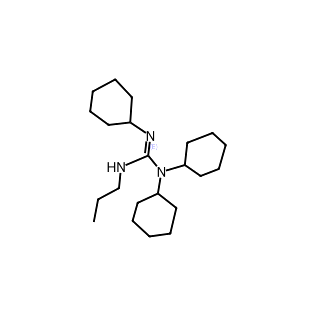 CCCN/C(=N\C1CCCCC1)N(C1CCCCC1)C1CCCCC1